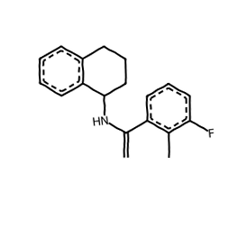 C=C(NC1CCCc2ccccc21)c1cccc(F)c1C